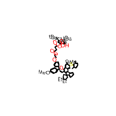 CCC1(CC)CCC2(CC1)c1ccccc1-c1c2c2c(c3cc(OC)c(Sc4c(C)cccc4C)cc13)OC(c1ccc(OC)cc1)(c1ccc(OCCOC(=O)CCC(=O)OC(O)(C[SiH](C)C(C)(C)C)O[Si](C)(C)C(C)(C)C)cc1)C=C2